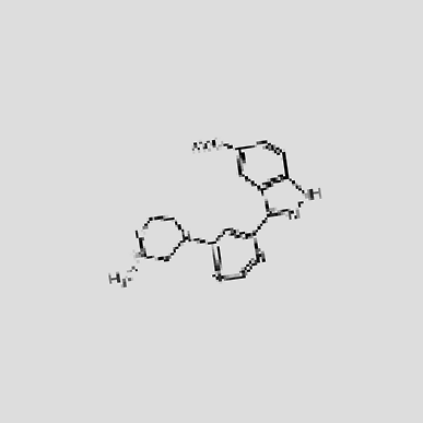 COc1ccc2[nH]nc(-c3cc(N4CCO[C@@H](C)C4)ncn3)c2c1